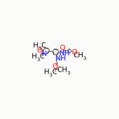 COC1CC(C(=O)Nc2ccc(-c3cc(C)c(=O)n(C)c3)cc2NCCOC(C)C)C1